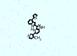 Cc1ccncc1-c1ccc2[nH]nc(-c3cc4c(-c5cccs5)cccc4[nH]3)c2n1